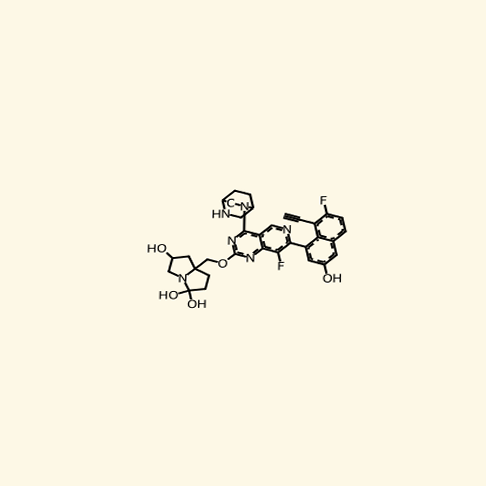 C#Cc1c(F)ccc2cc(O)cc(-c3ncc4c(N5CC6CCC5CN6)nc(OCC56CCC(O)(O)N5CC(O)C6)nc4c3F)c12